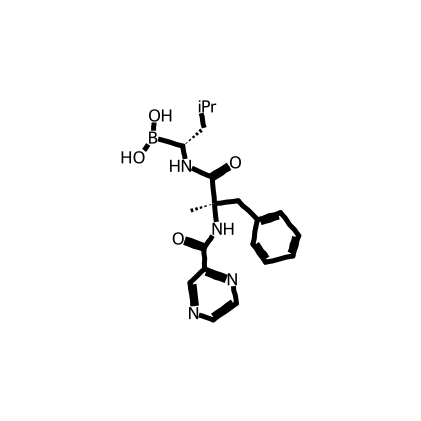 CC(C)C[C@H](NC(=O)[C@@](C)(Cc1ccccc1)NC(=O)c1cnccn1)B(O)O